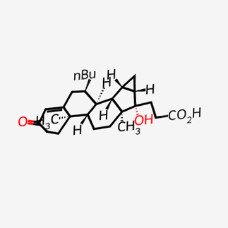 CCCC[C@@H]1CC2=CC(=O)CC[C@]2(C)[C@H]2CC[C@@]3(C)[C@@H]([C@@H]4C[C@@H]4[C@@]3(O)CCC(=O)O)[C@H]12